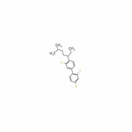 CCC(CCC(C)C)c1ccc(-c2ccc(F)cc2F)cc1F